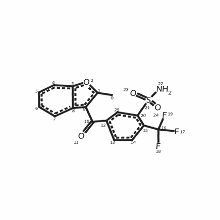 Cc1oc2ccccc2c1C(=O)c1ccc(C(F)(F)F)c(S(N)(=O)=O)c1